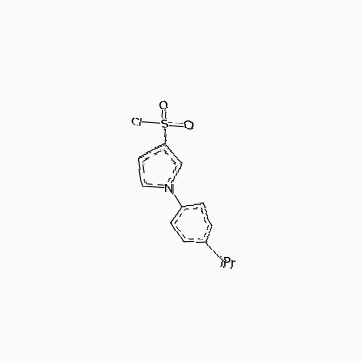 CC(C)c1ccc(-n2ccc(S(=O)(=O)Cl)c2)cc1